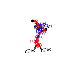 CCCCCCCCCCCCCCCC(=O)OCC(COP(=O)(O)OCCNC(=O)CCCC(=O)NCC(=O)NC(C(=O)NC(CCCCC)C(=O)N1CCCC1C(=O)N1CCCC1C(=O)CC(CCCN/C(N)=N\[N+](=O)[O-])C(=O)OCc1ccccc1)C(C)OC(=O)c1ccccc1)OC(=O)CCCCCCCCCCCCCCC